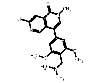 COc1cc(-c2cn(C)c(=O)c3cc(Cl)ncc23)cc(OC)c1CN(C)C